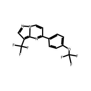 FC(F)(F)Oc1ccc(-c2ccn3ncc(C(F)(F)F)c3n2)cc1